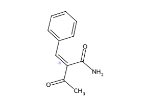 CC(=O)/C(=C/c1ccccc1)C(N)=O